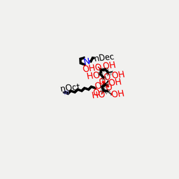 CCCCCCCC/C=C\CCCCCCCC(=O)O[C@H]1[C@H](O)[C@@H](CO)O[C@@]1(CO)O[C@H]1O[C@H](CO)[C@@H](O)[C@H](O)[C@H]1O.CCCCCCCCCCCCN1CCCC1=O